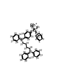 C1=C2CCC(=C1)C2.F[B-](F)(F)F.[Rh+].c1ccc(P(CCCCP(c2ccccc2)c2ccccc2)c2ccccc2)cc1